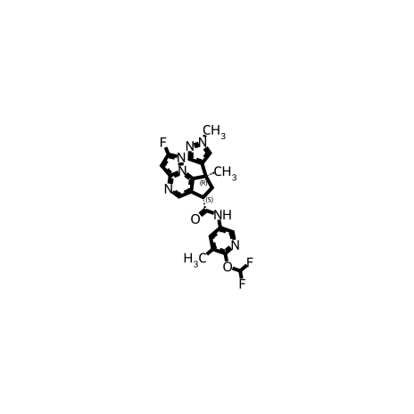 Cc1cc(NC(=O)[C@H]2C[C@](C)(c3cnn(C)c3)c3c2cnc2cc(F)nn32)cnc1OC(F)F